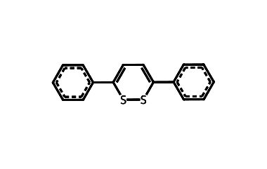 C1=C(c2ccccc2)SSC(c2ccccc2)=C1